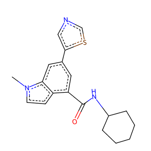 Cn1ccc2c(C(=O)NC3CCCCC3)cc(-c3cncs3)cc21